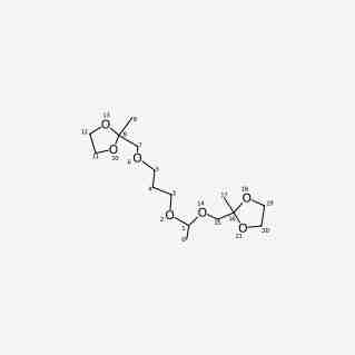 CC(OCCCOCC1(C)OCCO1)OCC1(C)OCCO1